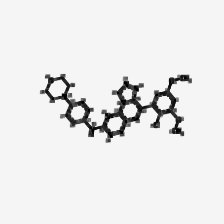 COc1cc(OC)c(Cl)c(-c2cc3cnc(Nc4ccc(N5CCOCC5)cc4)nc3n3cnnc23)c1